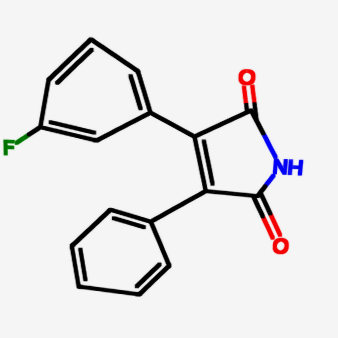 O=C1NC(=O)C(c2cccc(F)c2)=C1c1ccccc1